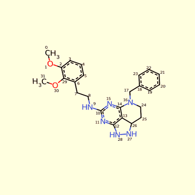 COc1cccc(CCNc2nc3c4c(n2)N(Cc2ccccc2)CCC4NN3)c1OC